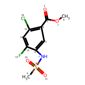 COC(=O)c1cc(NS(C)(=O)=O)c(F)cc1Cl